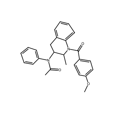 COc1ccc(C(=O)N2c3ccccc3CC(N(C(C)=O)c3ccccc3)C2C)cc1